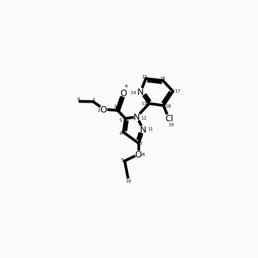 CCOC(=O)c1cc(OCC)nn1-c1ncccc1Cl